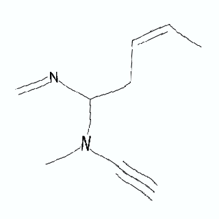 C#CN(C)C(C/C=C\C)N=C